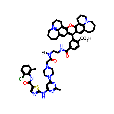 CCN(CCNC(=O)c1ccc(C(=O)O)c(C2=c3cc4c5c(c3Oc3c2cc2c6c3CCCN6CCCC2)CCC[N+]=5CCCC4)c1)C(=O)CN1CCN(c2cc(Nc3ncc(C(=O)Nc4c(C)cccc4Cl)s3)nc(C)n2)CC1